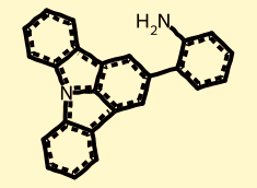 Nc1ccccc1-c1cc2c3ccccc3n3c4ccccc4c(c1)c23